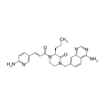 CCC[C@H]1C(=O)N(Cc2ccc3c(N)ncnc3c2)CCN1C(=O)C=Cc1ccc(N)nc1